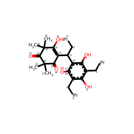 CC(C)Cc1c(O)c(CC(C)C)c(O)c(C(CC(C)C)C2=C(O)C(C)(C)C(=O)C(C)(C)C2=O)c1O